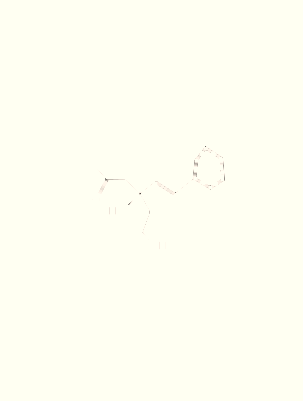 CCC[C@@](O)(/C=C/c1ccccc1)CC(=O)O